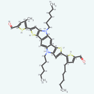 CCCCCCc1cc(C=O)sc1-c1cc2c(s1)c1cc3c(cc1n2CCCCCC)c1sc(-c2sc(C=O)cc2C)cc1n3CCCCCC